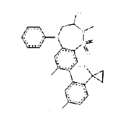 CCCC[C@@H]1CN(c2ccccc2)c2cc(F)c(-c3cc(C(=O)OCC)ccc3C3(N)CC3)cc2S(=O)(=O)N1C